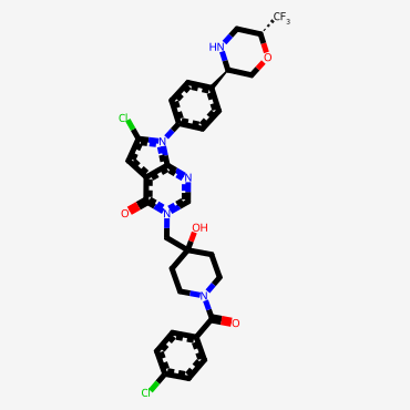 O=C(c1ccc(Cl)cc1)N1CCC(O)(Cn2cnc3c(cc(Cl)n3-c3ccc([C@@H]4CO[C@@H](C(F)(F)F)CN4)cc3)c2=O)CC1